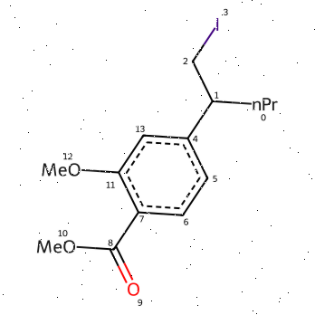 CCCC(CI)c1ccc(C(=O)OC)c(OC)c1